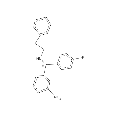 O=[N+]([O-])c1cccc([C@H](NCCc2ccccc2)c2ccc(F)cc2)c1